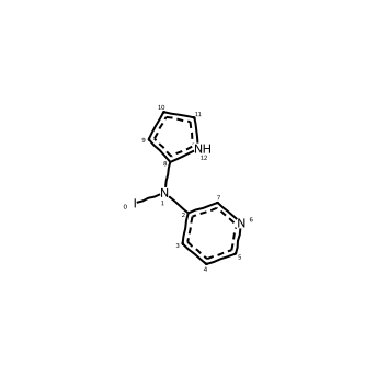 IN(c1cccnc1)c1ccc[nH]1